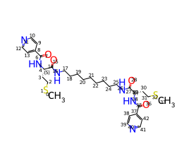 CSCC[C@H](NC(=O)c1ccncc1)C(=O)NCCCCCCCCCNC(=O)[C@H](CCSC)NC(=O)c1ccncc1